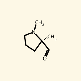 CN1CCC[C@]1(C)C=O